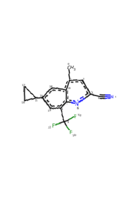 Cc1cc(C#N)nc2c(C(F)(F)F)cc(C3CC3)cc12